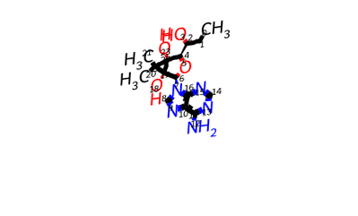 CCC(O)[C@H]1O[C@@H](n2cnc3c(N)ncnc32)[C@]2(O)C(C)(C)[C@]12O